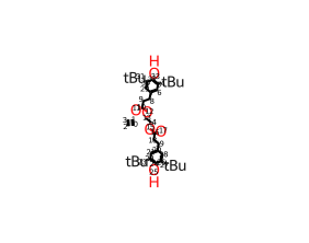 C=C.C=C.CC(C)(C)c1cc(CCC(=O)OCCOC(=O)CCc2cc(C(C)(C)C)c(O)c(C(C)(C)C)c2)cc(C(C)(C)C)c1O